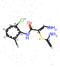 C=C(N)S/C(=C\N)C(=O)Nc1c(C)cccc1Cl